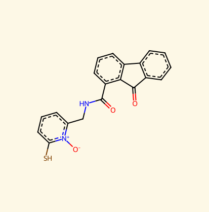 O=C(NCc1cccc(S)[n+]1[O-])c1cccc2c1C(=O)c1ccccc1-2